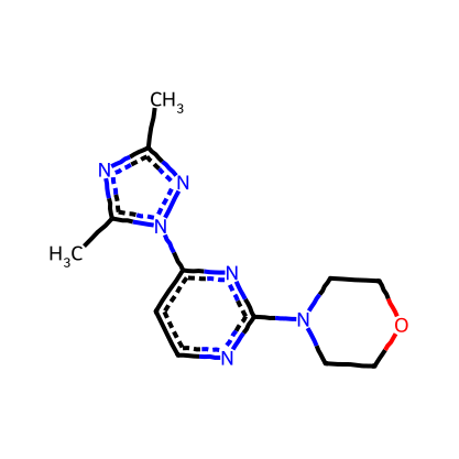 Cc1nc(C)n(-c2ccnc(N3CCOCC3)n2)n1